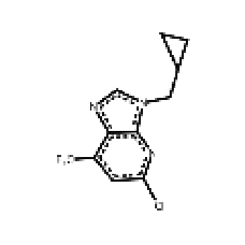 FC(F)(F)c1cc(Cl)nc2c1ncn2CC1CC1